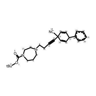 CC(C)(C)OC(=O)N1CCCN(CCC#CC2(C#N)C=CC(c3ccccc3)C=C2)CC1